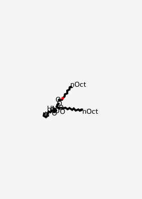 CCCCCCCCC=CCCCCCCCC(=O)OCC(COC(=O)CCCCCCCC=CCCCCCCCC)NS(=O)(=O)OCCN1CCCC1